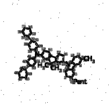 CCCC(C)c1ccc2c(c1)c1cc(C)ccc1n2-c1ccc2c(c1)C(C)(C)c1cc(N(c3ccc(-c4ccccc4)cc3)c3ccc(-c4ccccc4)cc3)ccc1-2